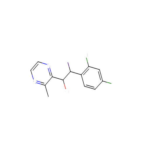 Cc1nccnc1C(O)C(I)c1ccc(Cl)cc1Cl